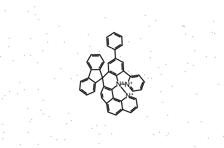 c1ccc(-c2cc3c4c(c2)C2(c5ccccc5-c5ccccc52)c2ccc5ccc6ccc[n+]7c6c5c2[N+]47[n+]2ccccc2-3)cc1